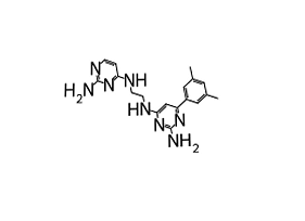 Cc1cc(C)cc(-c2cc(NCCNc3ccnc(N)n3)nc(N)n2)c1